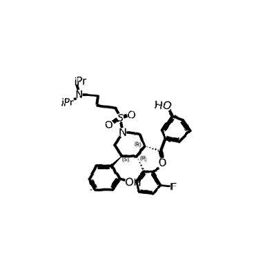 Cc1c(F)cccc1[C@H]1[C@@H](C(=O)c2cccc(O)c2)CN(S(=O)(=O)CCCN(C(C)C)C(C)C)C[C@@H]1c1cc[c]cc1O